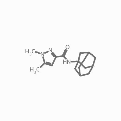 Cc1cc(C(=O)NC23C[C]4CC(CC(C4)C2)C3)nn1C